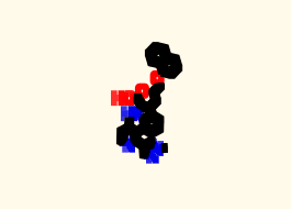 Cc1ccnc(-c2cnn(C)c2)c1-c1cccc2c(CCCOc3cccc4ccccc34)c(C(=O)O)[nH]c12